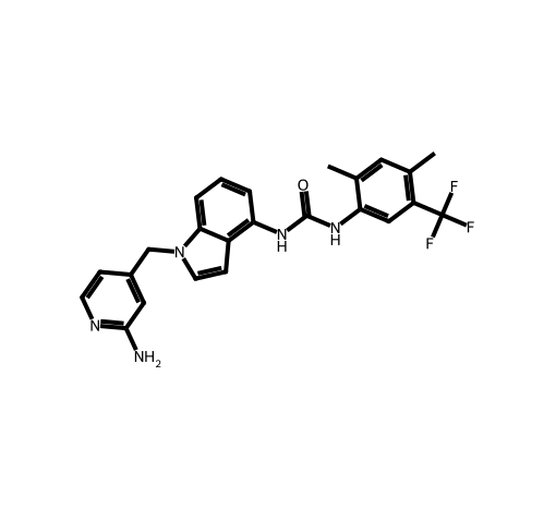 Cc1cc(C)c(C(F)(F)F)cc1NC(=O)Nc1cccc2c1ccn2Cc1ccnc(N)c1